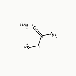 NC(=O)CS.[NaH]